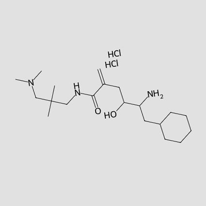 C=C(CC(O)C(N)CC1CCCCC1)C(=O)NCC(C)(C)CN(C)C.Cl.Cl